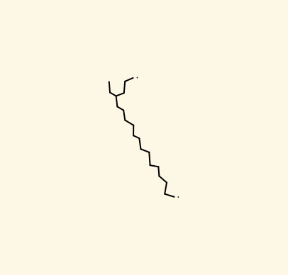 [CH2]CCCCCCCCCCCCCC(CC)CC[CH2]